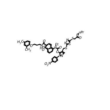 CCCOC(=O)CSc1nnc(SCc2cnn(-c3ccc([N+](=O)[O-])cc3)c2OC(=O)N(CC)c2cccc3c(O)c(C(=O)NCCCOc4ccc(C)cc4C)ccc23)s1